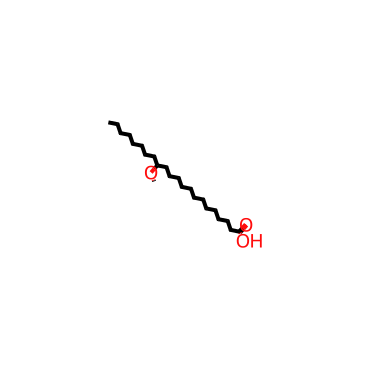 CCCCCCCCC(CCCCCCCCCCCCC(=O)O)OC